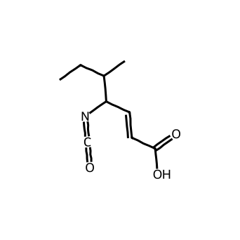 CCC(C)C(C=CC(=O)O)N=C=O